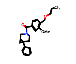 COc1cc(C(=O)N2CCC3(c4ccccc4)CC3C2)ccc1COCCC(F)(F)F